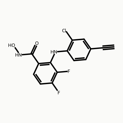 C#Cc1ccc(Nc2c(C(=O)NO)ccc(F)c2F)c(Cl)c1